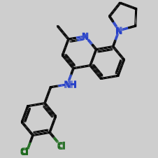 Cc1cc(NCc2ccc(Cl)c(Cl)c2)c2cccc(N3CCCC3)c2n1